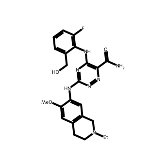 CCN1CCc2cc(OC)c(Nc3nnc(C(N)=O)c(Nc4c(F)cccc4CO)n3)cc2C1